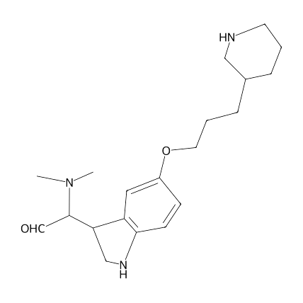 CN(C)C(C=O)C1CNc2ccc(OCCCC3CCCNC3)cc21